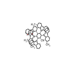 Cc1ccc2c3ccccc3n(-c3c(C#N)c(-n4c5ccccc5c5ccc(C)cc54)c(-n4c5ccccc5c5ccc(C)cc54)c(-c4cccc5c4oc4ncccc45)c3-n3c4ccccc4c4ccc(C)cc43)c2c1